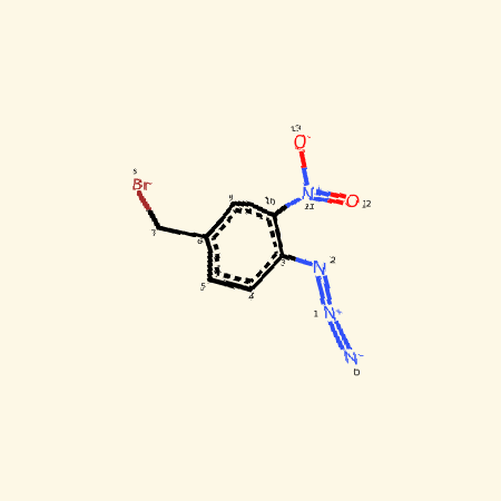 [N-]=[N+]=Nc1ccc(CBr)cc1[N+](=O)[O-]